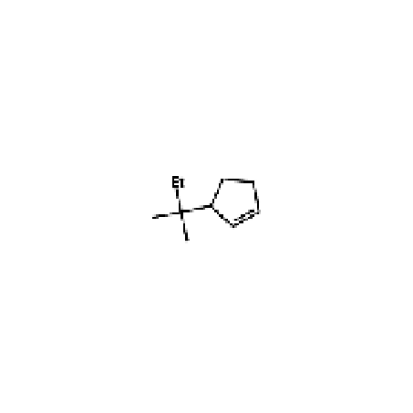 CCC(C)(C)C1C=CCC1